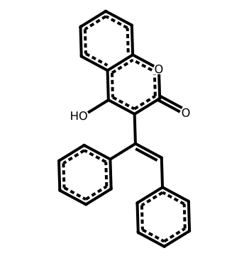 O=c1oc2ccccc2c(O)c1/C(=C/c1ccccc1)c1ccccc1